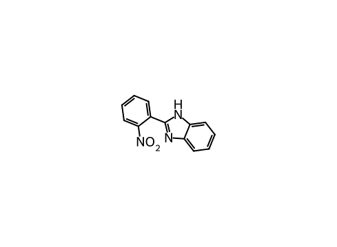 O=[N+]([O-])c1ccccc1-c1nc2ccccc2[nH]1